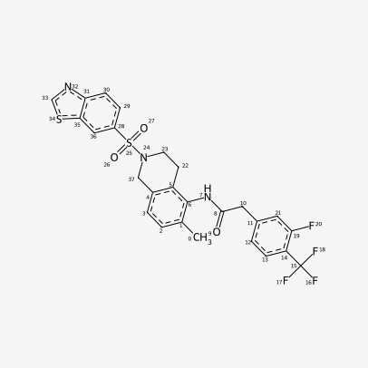 Cc1ccc2c(c1NC(=O)Cc1ccc(C(F)(F)F)c(F)c1)CCN(S(=O)(=O)c1ccc3ncsc3c1)C2